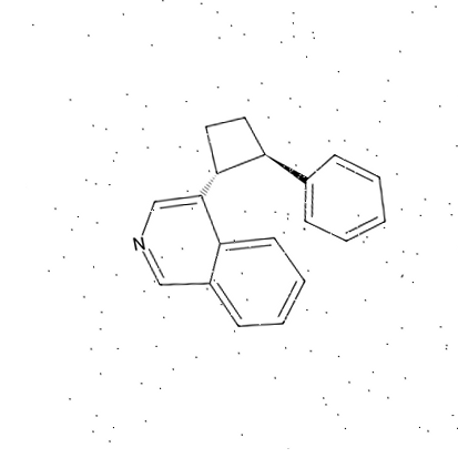 c1ccc([C@@H]2CC[C@H]2c2cncc3ccccc23)cc1